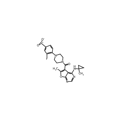 Cc1oc2ncnc(NC3(C)CC3)c2c1C(=O)N1CCN(c2ccc([N+](=O)[O-])cc2F)CC1